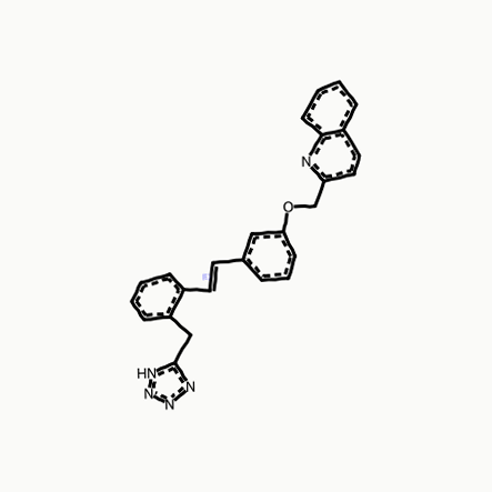 C(=C\c1ccccc1Cc1nnn[nH]1)/c1cccc(OCc2ccc3ccccc3n2)c1